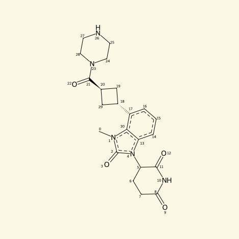 Cn1c(=O)n(C2CCC(=O)NC2=O)c2cccc([C@H]3C[C@H](C(=O)N4CCNCC4)C3)c21